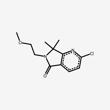 COCCN1C(=O)c2ccc(Cl)nc2C1(C)C